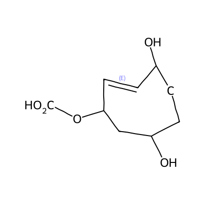 O=C(O)OC1/C=C/C(O)CCC(O)C1